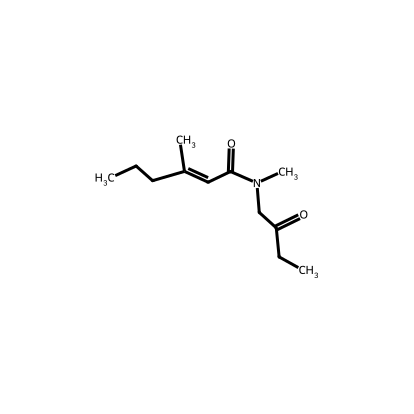 CCC/C(C)=C/C(=O)N(C)CC(=O)CC